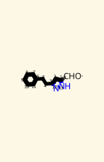 O=[C]c1cc(CCc2ccccc2)n[nH]1